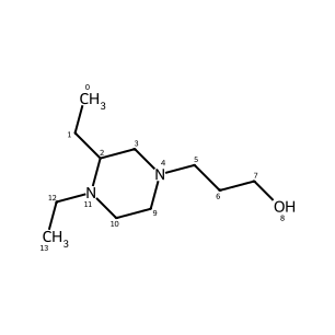 CCC1CN(CCCO)CCN1CC